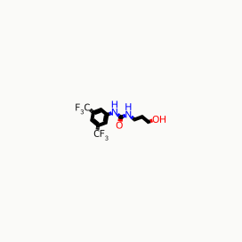 O=C(NCCCO)Nc1cc(C(F)(F)F)cc(C(F)(F)F)c1